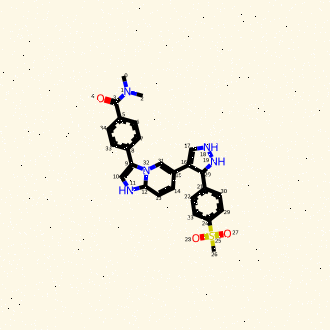 CN(C)C(=O)c1ccc(C2=CNC3C=CC(C4=CNNC4c4ccc(S(C)(=O)=O)cc4)=CN23)cc1